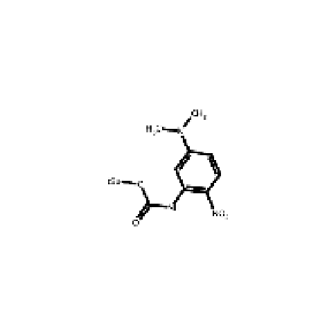 CN(C)c1ccc([N+](=O)[O-])c(NC(=O)OC(C)(C)C)c1